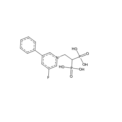 O=P(O)(O)C(C[n+]1cc(F)cc(-c2ccccc2)c1)P(=O)(O)O